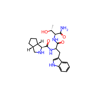 C[C@@H](O)[C@H](NC(=O)C(Cc1c[nH]c2ccccc12)NC(=O)[C@H]1NC[C@@H]2CCC[C@@H]21)C(N)=O